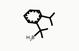 BC(C)(C)c1ccccc1C(C)C